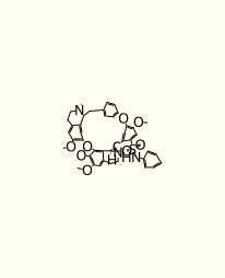 COc1cc(S(=O)(=O)Nc2ccccc2)c2cc1Oc1ccc(cc1)CC1c3cc(c(OC)cc3CCN1C)Oc1c(OC)c(OC)cc3c1[C@@H](C2)N(C)CC3